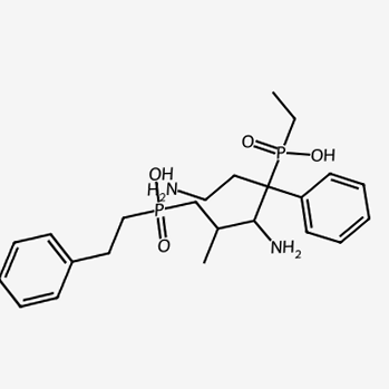 CCP(=O)(O)C(CCN)(c1ccccc1)C(N)C(C)CP(=O)(O)CCc1ccccc1